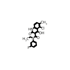 CCN(C(=O)c1c(O)c2c(Cl)c(C)ccc2[nH]c1=O)c1cccc(F)c1